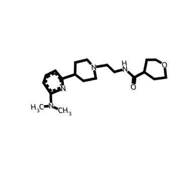 CN(C)c1cccc(C2CCN(CCNC(=O)C3CCOCC3)CC2)n1